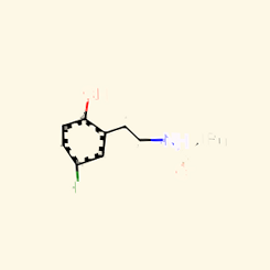 CC(C)(C)[S@@+]([O-])NCCc1cc(F)ccc1O